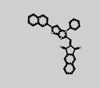 O=C1C(=Cc2nc3oc(-c4ccc5ccccc5c4)cc3n2-c2ccccc2)C(=O)c2cc3ccccc3cc21